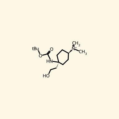 C=[N+](C)[C@H]1CC[C@@](CCO)(NC(=O)OC(C)(C)C)CC1